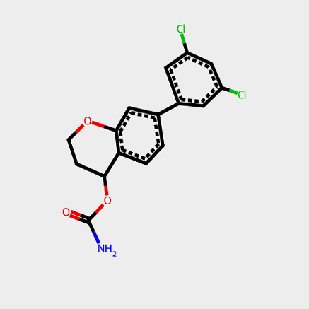 NC(=O)OC1CCOc2cc(-c3cc(Cl)cc(Cl)c3)ccc21